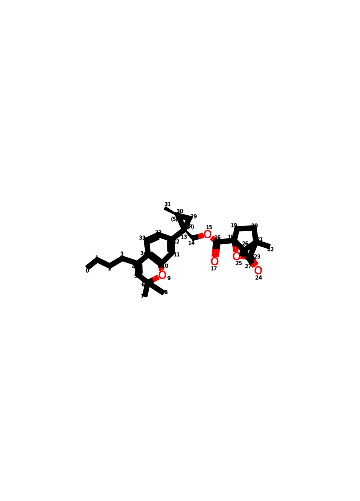 CCCCC1=CC(C)(C)Oc2cc([C@@]3(COC(=O)C45CCC(C)(C(=O)O4)C5(C)C)C[C@@H]3C)ccc21